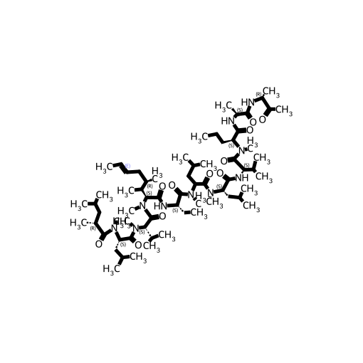 C/C=C/C[C@@H](C)C(C)[C@@H](C(=O)N[C@@H](CC)C(=O)N(C)C(CC(C)C)C(=O)N(C)[C@@H](CC(C)C)C(=O)N[C@H](C(=O)N(C)[C@@H](CCC)C(=O)N[C@@H](C)C(=O)N[C@H](C)C(C)=O)C(C)C)N(C)C(=O)[C@H](C(C)C)N(C)C(=O)[C@H](CC(C)C)N(C)C(=O)[C@H](C)CC(C)C